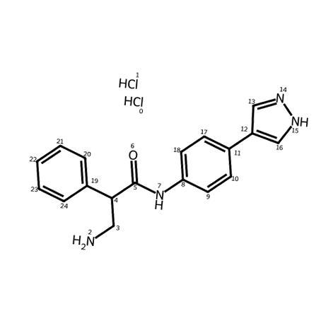 Cl.Cl.NCC(C(=O)Nc1ccc(-c2cn[nH]c2)cc1)c1ccccc1